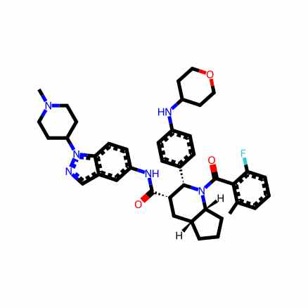 Cc1cccc(F)c1C(=O)N1[C@@H]2CCC[C@@H]2C[C@H](C(=O)Nc2ccc3c(cnn3C3CCN(C)CC3)c2)[C@@H]1c1ccc(NC2CCOCC2)cc1